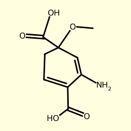 COC1(C(=O)O)C=C(N)C(C(=O)O)=CC1